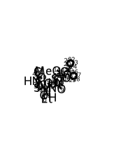 CCON=C(C(=O)NC1C(=O)N2CC(COC)(C(=O)OC(c3ccccc3)c3ccccc3)CS[C@H]12)c1csc(NC(=O)CCl)n1